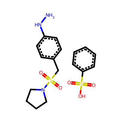 NNc1ccc(CS(=O)(=O)N2CCCC2)cc1.O=S(=O)(O)c1ccccc1